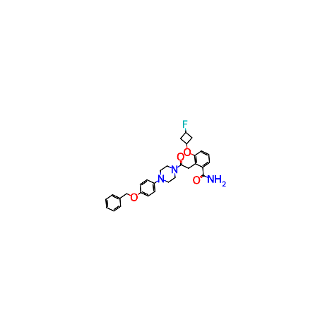 NC(=O)c1cccc(OC2CC(F)C2)c1CC(=O)N1CCN(c2ccc(OCc3ccccc3)cc2)CC1